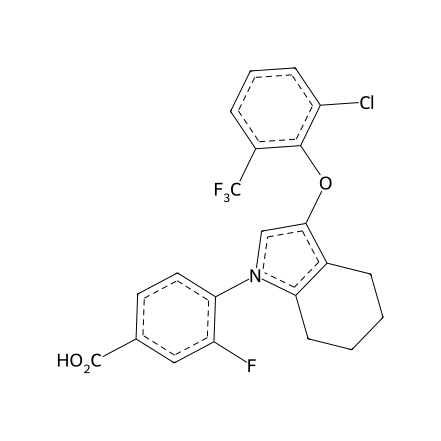 O=C(O)c1ccc(-n2cc(Oc3c(Cl)cccc3C(F)(F)F)c3c2CCCC3)c(F)c1